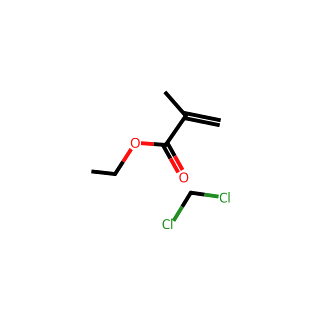 C=C(C)C(=O)OCC.ClCCl